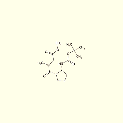 COC(=O)CN(C)C(=O)[C@H]1CCC[C@H]1NC(=O)OC(C)(C)C